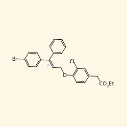 CCOC(=O)Cc1ccc(OC/C=C(\c2ccccc2)c2ccc(Br)cc2)c(Cl)c1